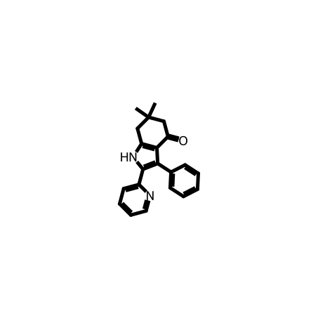 CC1(C)CC(=O)c2c([nH]c(-c3ccccn3)c2-c2ccccc2)C1